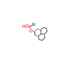 OP(Br)OC1=Cc2cccc3cccc(c23)C1